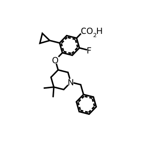 CC1(C)CC(Oc2cc(F)c(C(=O)O)cc2C2CC2)CN(Cc2ccccc2)C1